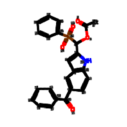 CCC(=O)OC(c1cc2cc(C(=O)c3ccccc3)ccc2[nH]1)S(=O)(=O)c1ccccc1